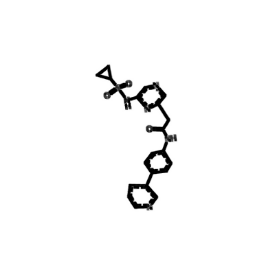 O=C(Cc1cncc(NS(=O)(=O)C2CC2)n1)Nc1ccc(-c2cccnc2)cc1